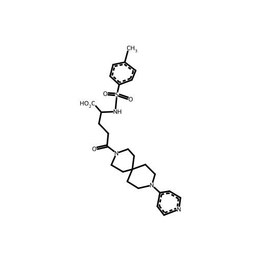 Cc1ccc(S(=O)(=O)NC(CCC(=O)N2CCC3(CC2)CCN(c2ccncc2)CC3)C(=O)O)cc1